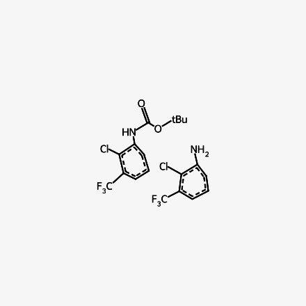 CC(C)(C)OC(=O)Nc1cccc(C(F)(F)F)c1Cl.Nc1cccc(C(F)(F)F)c1Cl